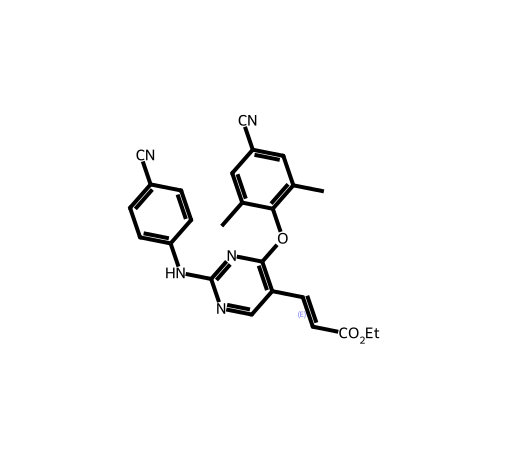 CCOC(=O)/C=C/c1cnc(Nc2ccc(C#N)cc2)nc1Oc1c(C)cc(C#N)cc1C